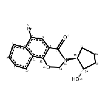 O=C1c2cc(Br)c3ccccc3c2OCN1[C@H]1CCC[C@@H]1O